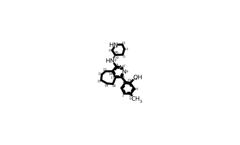 Cc1ccc(-c2nnc(N[C@@H]3CCCNC3)c3c2CCCCC3)c(O)c1